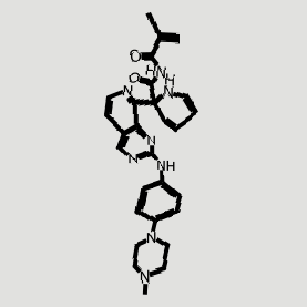 C=C(C)C(=O)NC(=O)C1(c2nccc3cnc(Nc4ccc(N5CCN(C)CC5)cc4)nc23)C=CC=CN1